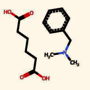 CN(C)Cc1ccccc1.O=C(O)CCCCC(=O)O